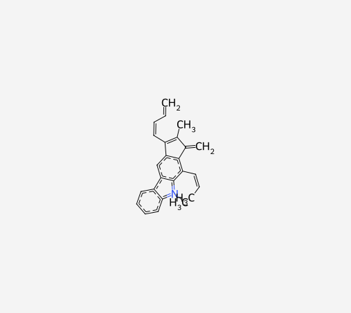 C=C/C=C\C1=C(C)C(=C)c2c1cc1c3ccccc3n(C)c1c2/C=C\C